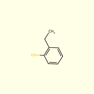 CCc1[c]cccc1S